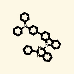 c1ccc(-c2nc(-n3c4ccccc4c4ccc(-c5ccc(N(c6ccccc6)c6ccccc6)cc5)cc43)c3ccccc3n2)cc1